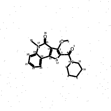 COc1c(C(=O)N2CCCCC2)sc2c1c(=O)n(C)c1ccccc21